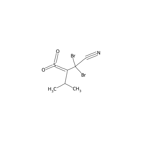 CC(C)C(=S(=O)=O)C(Br)(Br)C#N